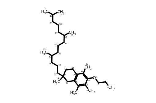 CCCOc1c(C)c(C)c2c(c1C)CCC(C)(CCCC(C)CCCC(C)CCCC(C)C)C2